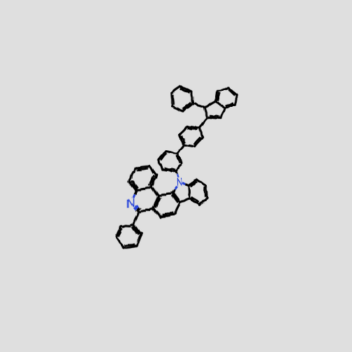 C1=C(c2ccc(-c3cccc(-n4c5ccccc5c5ccc6c(-c7ccccc7)nc7ccccc7c6c54)c3)cc2)C(c2ccccc2)c2ccccc21